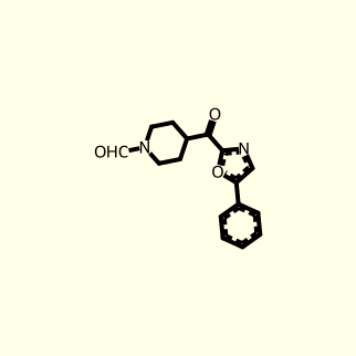 O=CN1CCC(C(=O)c2ncc(-c3ccccc3)o2)CC1